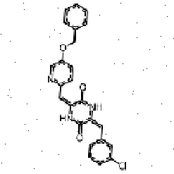 O=c1[nH]c(=Cc2ccc(OCc3ccccc3)cn2)c(=O)[nH]c1=Cc1cccc(Cl)c1